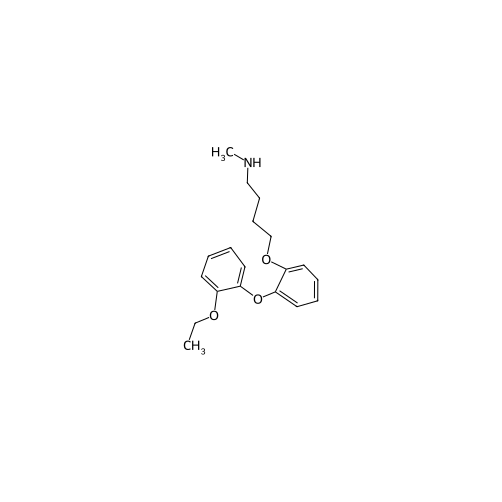 CCOc1ccccc1Oc1ccccc1OCCCCNC